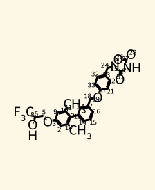 Cc1cc(OCC(O)C(F)(F)F)cc(C)c1-c1cccc(COc2ccc(Cn3oc(=O)[nH]c3=O)cc2)c1